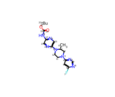 C[C@H]1CN(c2cc(F)ncn2)CCN1c1cnc(NC(=O)OC(C)(C)C)cn1